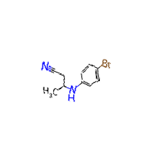 C[C@@H](CC#N)Nc1ccc(Br)cc1